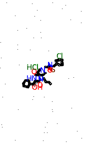 CCCCN1C(=O)[C@@H]([C@H](O)C2CCCCC2)NC(=O)C12CCN(CC1=NC(c3cccc(Cl)c3)SO1)CC2.Cl